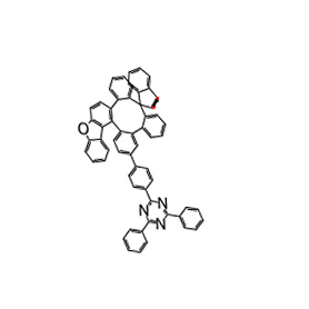 c1ccc(-c2nc(-c3ccccc3)nc(-c3ccc(-c4ccc5c(c4)-c4ccccc4C4(c6ccccc6-c6ccccc64)c4ccccc4-c4ccc6oc7ccccc7c6c4-5)cc3)n2)cc1